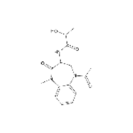 CC(=O)N1CC(NC(=O)C(C)O)C(=O)N(C)c2ccccc21